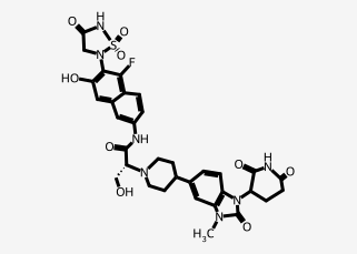 Cn1c(=O)n(C2CCC(=O)NC2=O)c2ccc(C3CCN([C@H](CO)C(=O)Nc4ccc5c(F)c(N6CC(=O)NS6(=O)=O)c(O)cc5c4)CC3)cc21